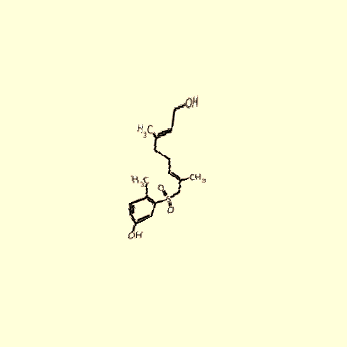 CC(=CCO)CCC=C(C)CS(=O)(=O)c1cc(O)ccc1C